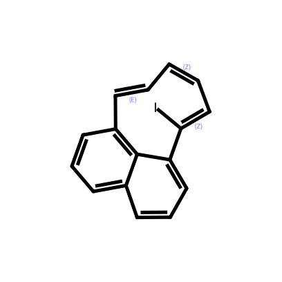 I\C1=C/C=C\C=C\c2cccc3cccc1c23